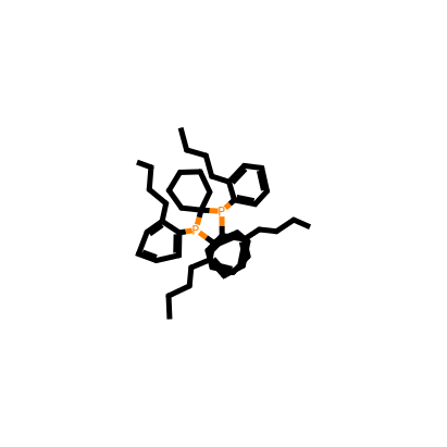 CCCCc1ccccc1P(c1ccccc1CCCC)C1(P(c2ccccc2CCCC)c2ccccc2CCCC)CCCCC1